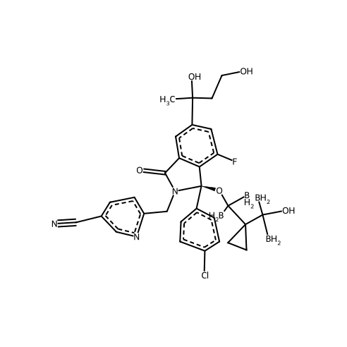 BC(B)(O)C1(C(B)(B)O[C@]2(c3ccc(Cl)cc3)c3c(F)cc(C(C)(O)CCO)cc3C(=O)N2Cc2ccc(C#N)cn2)CC1